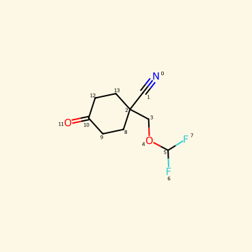 N#CC1(COC(F)F)CCC(=O)CC1